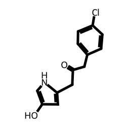 O=C(Cc1ccc(Cl)cc1)Cc1cc(O)c[nH]1